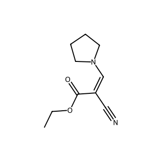 CCOC(=O)C(C#N)=CN1CCCC1